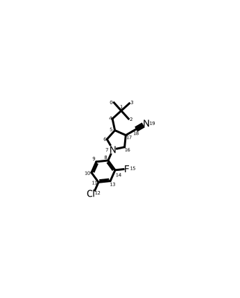 CC(C)(C)CC1CN(c2ccc(Cl)cc2F)CC1C#N